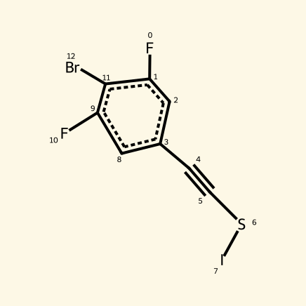 Fc1cc(C#CSI)cc(F)c1Br